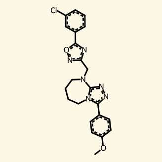 COc1ccc(-c2nnc3n2CCCCN3Cc2noc(-c3cccc(Cl)c3)n2)cc1